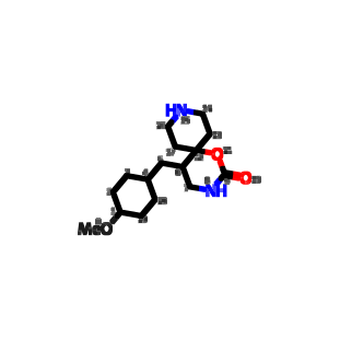 COC1CCC(CC2CNC(=O)OC23CCNCC3)CC1